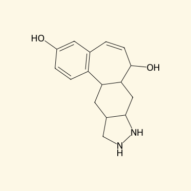 Oc1ccc2c(c1)C=CC(O)C1CC3NNCC3CC21